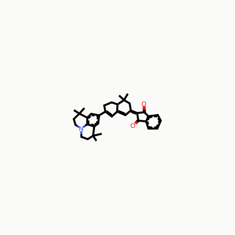 CC1(C)CCN2CCC(C)(C)c3cc(C4=CC5=CC(=C6C(=O)c7ccccc7C6=O)CC(C)(C)C5CC4)cc1c32